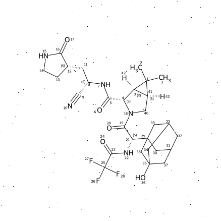 CC1(C)[C@@H]2[C@@H](C(=O)N[C@H](C#N)C[C@@H]3CCNC3=O)N(C(=O)[C@@H](NC(=O)C(F)(F)F)C34CC5CC(CC(O)(C5)C3)C4)C[C@@H]21